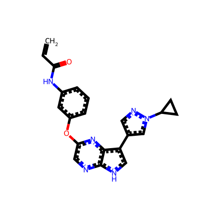 C=CC(=O)Nc1cccc(Oc2cnc3[nH]cc(-c4cnn(C5CC5)c4)c3n2)c1